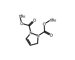 CC(C)(C)OC(=O)N1C=CCN1C(=O)OC(C)(C)C